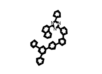 c1ccc(-c2cc(-c3ccccc3)cc(-c3ccc(-c4cccc(-c5cccc(-c6nc(-c7ccccc7)nc(-c7cccc8ccccc78)n6)c5)c4)cc3)c2)cc1